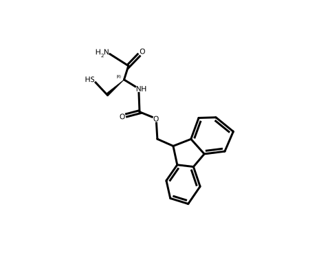 NC(=O)[C@H](CS)NC(=O)OCC1c2ccccc2-c2ccccc21